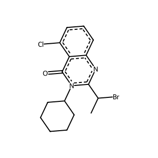 CC(Br)c1nc2cccc(Cl)c2c(=O)n1C1CCCCC1